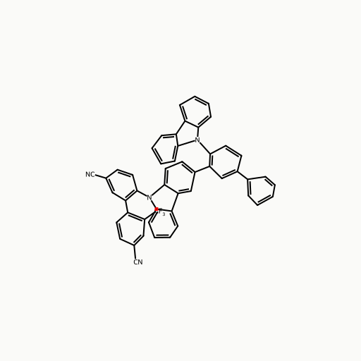 N#Cc1ccc(-n2c3ccccc3c3cc(-c4cc(-c5ccccc5)ccc4-n4c5ccccc5c5ccccc54)ccc32)c(-c2ccc(C#N)cc2C(F)(F)F)c1